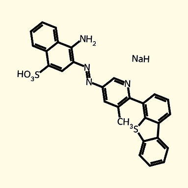 Cc1cc(N=Nc2cc(S(=O)(=O)O)c3ccccc3c2N)cnc1-c1cccc2c1sc1ccccc12.[NaH]